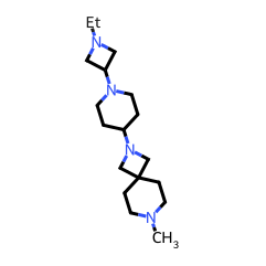 CCN1CC(N2CCC(N3CC4(CCN(C)CC4)C3)CC2)C1